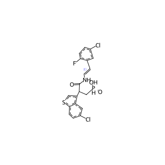 O=C(N/C=C/c1cc(Cl)ccc1F)C(C[PH](=O)O)c1csc2ccc(Cl)cc12